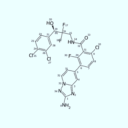 Nc1nc2cc(-c3ccc(Cl)c(C(=O)NCC(F)(F)[C@H](O)c4ccc(Cl)c(Cl)c4)c3F)ccn2n1